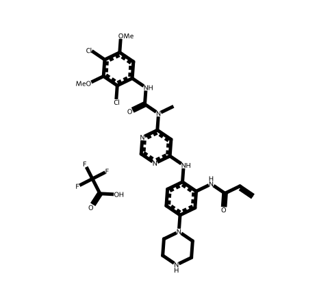 C=CC(=O)Nc1cc(N2CCNCC2)ccc1Nc1cc(N(C)C(=O)Nc2cc(OC)c(Cl)c(OC)c2Cl)ncn1.O=C(O)C(F)(F)F